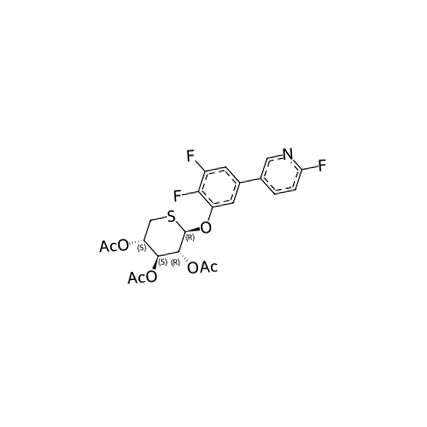 CC(=O)O[C@@H]1[C@@H](OC(C)=O)[C@H](OC(C)=O)CS[C@H]1Oc1cc(-c2ccc(F)nc2)cc(F)c1F